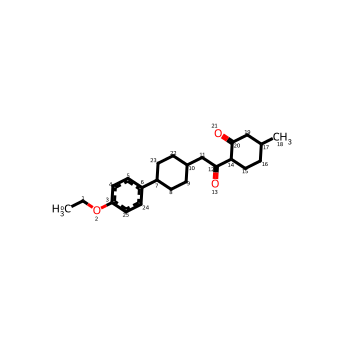 CCOc1ccc(C2CCC(CC(=O)C3CCC(C)CC3=O)CC2)cc1